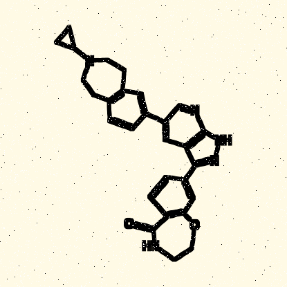 O=C1NCCOc2cc(-c3n[nH]c4ncc(-c5ccc6c(c5)CCN(C5CC5)CC6)cc34)ccc21